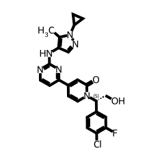 Cc1c(Nc2nccc(-c3ccn([C@H](CO)c4ccc(Cl)c(F)c4)c(=O)c3)n2)cnn1C1CC1